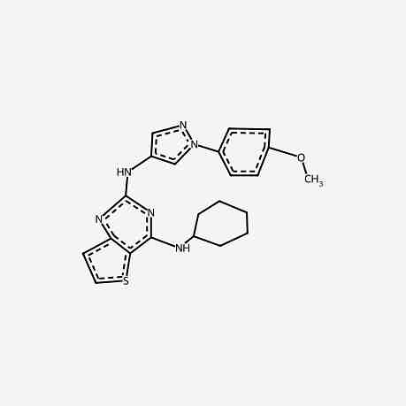 COc1ccc(-n2cc(Nc3nc(NC4CCCCC4)c4sccc4n3)cn2)cc1